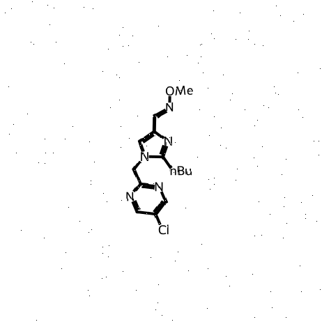 CCCCc1nc(C=NOC)cn1Cc1ncc(Cl)cn1